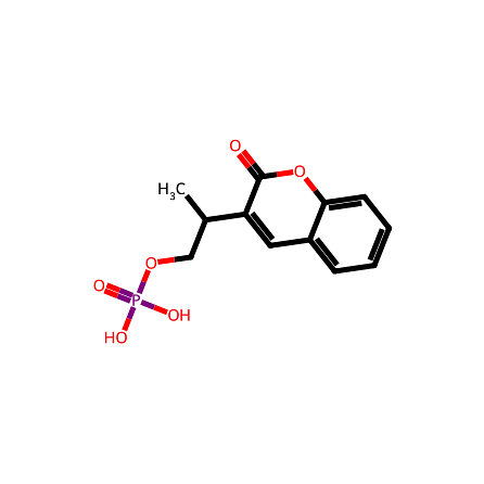 CC(COP(=O)(O)O)c1cc2ccccc2oc1=O